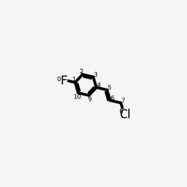 Fc1ccc(C=CCCl)cc1